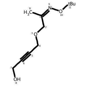 CC(COCC#CCO)=NOC(C)(C)C